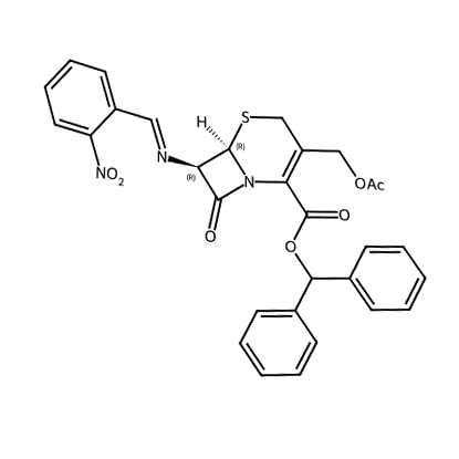 CC(=O)OCC1=C(C(=O)OC(c2ccccc2)c2ccccc2)N2C(=O)[C@@H](N=Cc3ccccc3[N+](=O)[O-])[C@H]2SC1